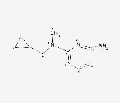 CN(CC1CC1)c1nccc(N)n1